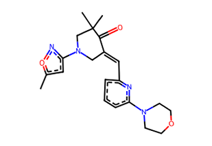 Cc1cc(N2CC(=Cc3cccc(N4CCOCC4)n3)C(=O)C(C)(C)C2)no1